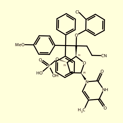 COc1ccc(C(c2ccccc2)(c2ccccc2)C(CCC#N)(Oc2ccccc2Cl)[C@H]2O[C@@H](n3cc(C)c(=O)[nH]c3=O)C[C@@H]2OP(=O)(O)O)cc1